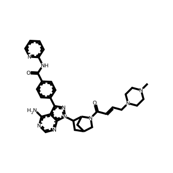 CN1CCN(CC=CC(=O)N2CC3CC2C(n2nc(-c4ccc(C(=O)Nc5ccccn5)cc4)c4c(N)ncnc42)C3)CC1